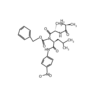 CC(C)C[C@@H](C(=O)Nc1ccc([N+](=O)[O-])cc1)N(C(=O)OCc1ccccc1)C(=O)[C@H](C)NC(=O)[C@H](C)N